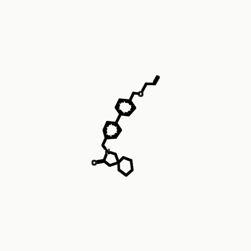 C=CCOCc1ccc(-c2ccc(CN3CC4(CCCCC4)CC3=O)cc2)cc1